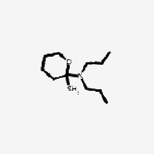 CCCN(CCC)C1([SiH3])CCCCO1